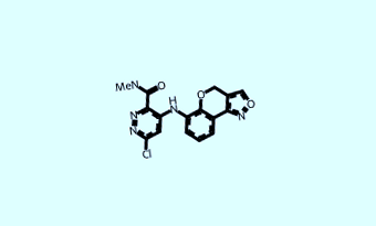 CNC(=O)c1nnc(Cl)cc1Nc1cccc2c1OCc1conc1-2